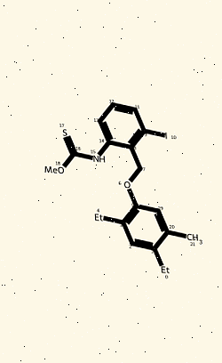 CCc1cc(CC)c(OCc2c(I)cccc2NC(=S)OC)cc1C